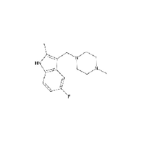 Cc1[nH]c2ccc(F)cc2c1CN1CCN(C)CC1